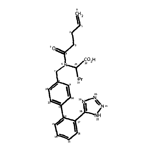 C=CCCC(=O)N(Cc1ccc(-c2ccccc2-c2nnn[nH]2)cc1)C(C(=O)O)C(C)C